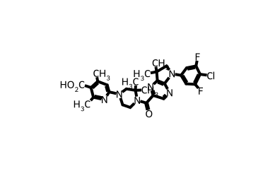 Cc1cc(N2CCN(C(=O)c3cnc4c(n3)C(C)(C)CN4c3cc(F)c(Cl)c(F)c3)C(C)(C)C2)nc(C)c1C(=O)O